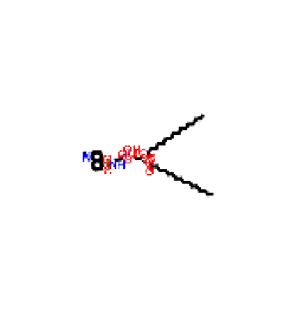 CCCCCCCCCCCCCCCC(=O)OC[C@H](COP(=O)(O)OCCNS(=O)(=O)c1cccc2c(N(C)C)cccc12)OC(=O)CCCCCCCCCCCCCCC